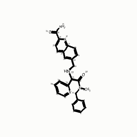 CN(Cc1ccccc1)C(=O)C(NCc1ccc2nc(C(N)=O)ccc2c1)c1ccccn1